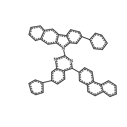 c1ccc(-c2ccc3c(-c4ccc5c(ccc6ccccc65)c4)nc(-n4c5cc(-c6ccccc6)ccc5c5cc6ccccc6cc54)nc3c2)cc1